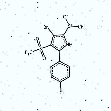 O=S(=O)(c1c(-c2ccc(Cl)cc2)[nH]c([S+]([O-])C(F)(F)F)c1Br)C(F)(F)F